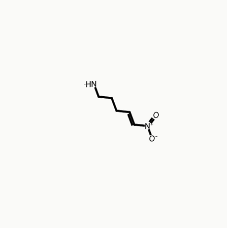 [NH]CCC/C=C/[N+](=O)[O-]